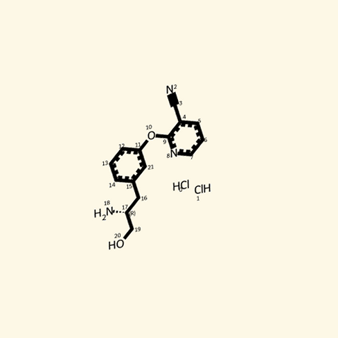 Cl.Cl.N#Cc1cccnc1Oc1cccc(C[C@@H](N)CO)c1